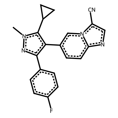 Cn1nc(-c2ccc(F)cc2)c(-c2ccc3ncc(C#N)n3c2)c1C1CC1